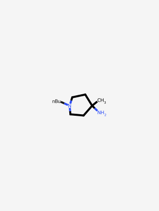 [CH2]CCCN1CCC(C)(N)CC1